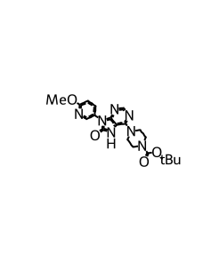 COc1ccc(-n2c(=O)[nH]c3c(N4CCN(C(=O)OC(C)(C)C)CC4)ncnc32)cn1